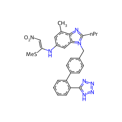 CCCc1nc2c(C)cc(NC(=C[N+](=O)[O-])SC)cc2n1Cc1ccc(-c2ccccc2-c2nnn[nH]2)cc1